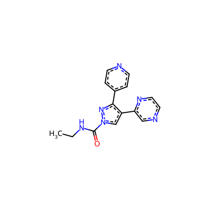 CCNC(=O)n1cc(-c2cnccn2)c(-c2ccncc2)n1